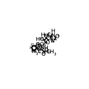 C=C1NC(=O)C=NN1[C@@H]1O[C@H](COP(=O)(N[C@@H](C)C(=O)OC)Oc2ccccc2)C(O)[C@@H]1O